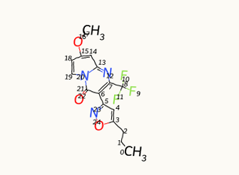 CCCc1cc(-c2c(C(F)(F)F)nc3cc(OC)ccn3c2=O)no1